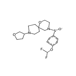 [O-][S+](c1ccc(OC(F)F)cc1)N1CCOC2(CCN(C3CCOC3)CC2)C1